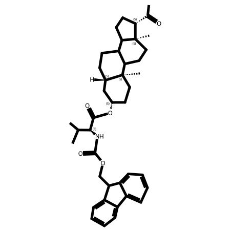 CC(=O)[C@H]1CCC2C3CC[C@H]4C[C@@H](OC(=O)[C@@H](NC(=O)OCC5c6ccccc6-c6ccccc65)C(C)C)CC[C@]4(C)C3CC[C@@]21C